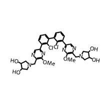 COc1nc(-c2cccc(-c3cccc(-c4cnc(CN5CC(O)C(O)C5)c(OC)n4)c3Cl)c2Cl)cnc1CN1CC(O)C(O)C1